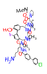 CNC(=O)[C@@H]1CCCN1C(=O)[C@H](C)NC(=O)[C@@H]1Cc2ccc(O)c(c2)-c2cc(ccc2I)[C@H](N(C)C(=O)[C@H](CCCCN)NC(=O)c2ccc(-c3ccc(Cl)cc3)cc2)C(=O)N[C@@H](C)C(=O)N1